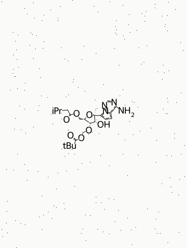 CC(C)CC(=O)OC[C@H]1O[C@@](C)(c2ccc3c(N)ncnn23)[C@H](O)[C@@H]1OCOC(=O)C(C)(C)C